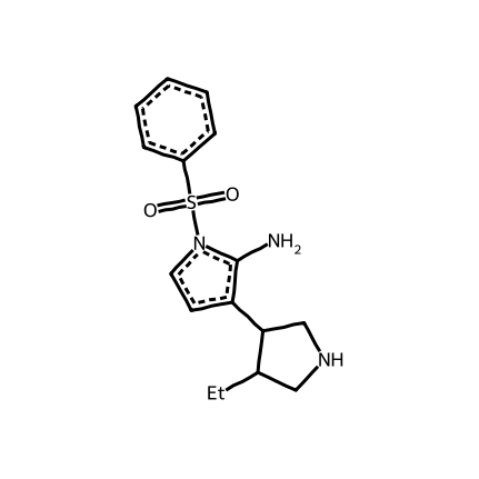 CCC1CNCC1c1ccn(S(=O)(=O)c2ccccc2)c1N